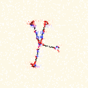 COC[C@@H]1C[C@@H](O)CN1C(=O)CCCCCCCCCCC(=O)NC(COCCC(=O)NCCCNC(=O)CCCCOC1OC(CO)C(O)C(O)C1N)(COCCC(=O)NCCCNC(=O)CCCCOC1OC(CO)C(O)C(O)C1N)COCCC(=O)NCCCNC(=O)CCCCOC1OC(CO)C(O)C(O)C1N